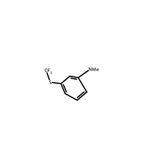 CNc1cccc(SC(F)(F)F)c1